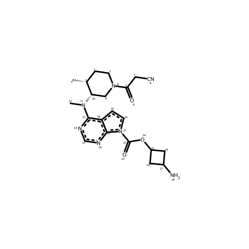 C[C@@H]1CCN(C(=O)CC#N)C[C@@H]1N(C)c1ncnc2c1ccn2C(=O)OC1CC(N)C1